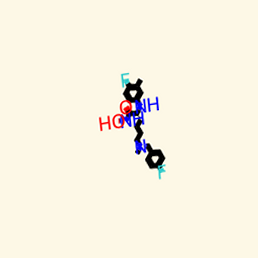 Cc1cc(N[C@H](CCCCN(C)Cc2ccc(F)cc2)C(=O)NO)ccc1F